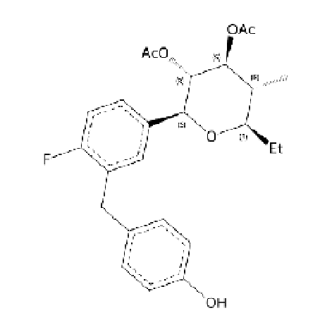 CC[C@H]1O[C@@H](c2ccc(F)c(Cc3ccc(O)cc3)c2)[C@H](OC(C)=O)[C@@H](OC(C)=O)[C@@H]1C